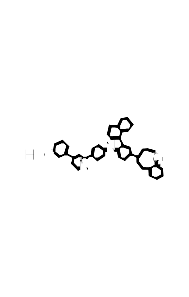 Cc1cccc(-c2ccnc(-c3ccc(-n4c5ccc(-c6cccoc7ccccc7cc6)cc5c5c6ccccc6ccc54)cc3)c2)c1